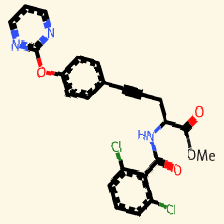 COC(=O)C(CC#Cc1ccc(Oc2ncccn2)cc1)NC(=O)c1c(Cl)cccc1Cl